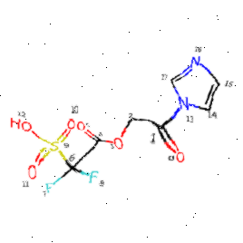 O=C(COC(=O)C(F)(F)S(=O)(=O)O)n1ccnc1